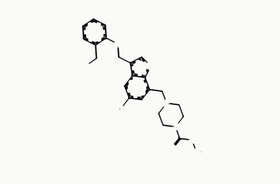 CCOC(=O)Cc1ccccc1OCc1coc2c(CN3CCN(C(=O)OC(C)(C)C)CC3)cc(Br)cc12